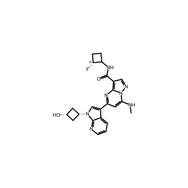 CNc1cc(-c2cn([C@H]3C[C@@H](O)C3)c3ncccc23)nc2c(C(=O)NC3CC[C@H]3F)cnn12